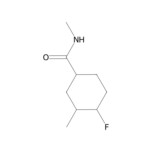 CNC(=O)C1CCC(F)C(C)C1